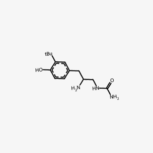 CC(C)(C)c1cc(CC(N)CNC(N)=O)ccc1O